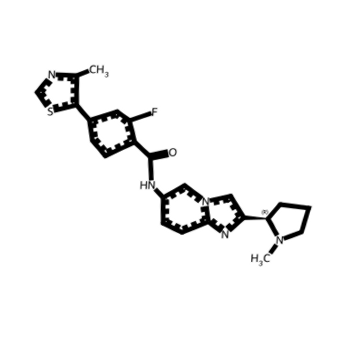 Cc1ncsc1-c1ccc(C(=O)Nc2ccc3nc([C@H]4CCCN4C)cn3c2)c(F)c1